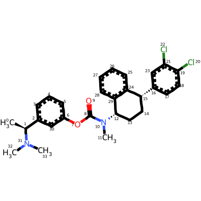 C[C@@H](c1cccc(OC(=O)N(C)[C@H]2CC[C@@H](c3ccc(Cl)c(Cl)c3)c3ccccc32)c1)N(C)C